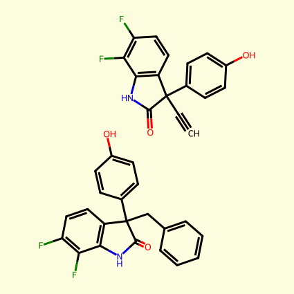 C#CC1(c2ccc(O)cc2)C(=O)Nc2c1ccc(F)c2F.O=C1Nc2c(ccc(F)c2F)C1(Cc1ccccc1)c1ccc(O)cc1